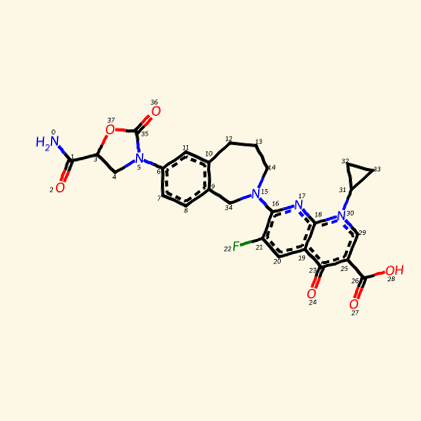 NC(=O)C1CN(c2ccc3c(c2)CCCN(c2nc4c(cc2F)c(=O)c(C(=O)O)cn4C2CC2)C3)C(=O)O1